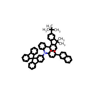 CC(C)(C)c1ccc2c(c1)C(C)(C)c1cccc(-c3ccccc3N(c3ccc(-c4ccc5ccccc5c4)cc3)c3ccc4c(c3)C3(c5ccccc5-c5ccccc53)c3ccccc3-4)c1-2